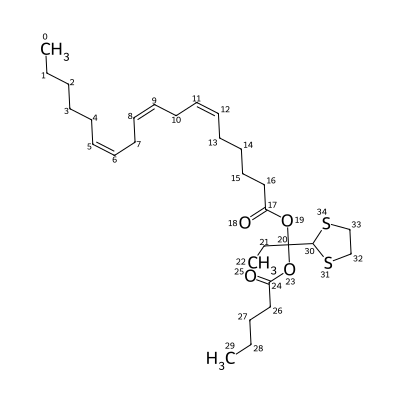 CCCCC/C=C\C/C=C\C/C=C\CCCCC(=O)OC(CC)(OC(=O)CCCC)C1SCCS1